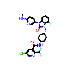 CNc1ccc(-n2c(=O)n(C[C@H]3CC[C@H](NC(=O)c4cc(Cl)cnc4C(F)F)CC3)c3c(F)cccc32)cn1